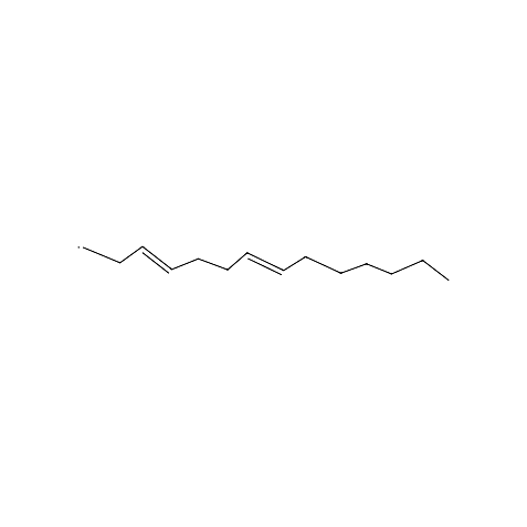 [CH2]C/C=C/CC/C=C/CCCCCC